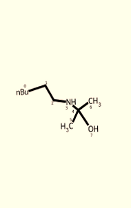 CCCCCCNC(C)(C)O